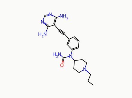 CCCN1CCC(N(C(N)=O)c2cccc(C#Cc3c(N)ncnc3N)c2)CC1